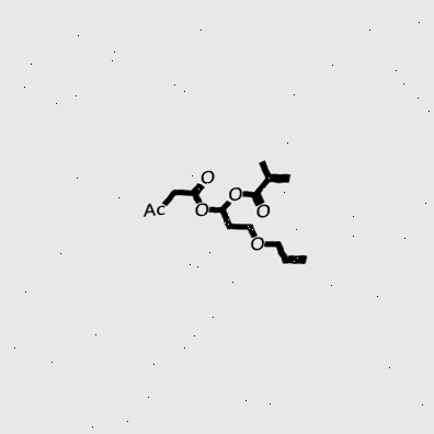 C=CCOCCC(OC(=O)CC(C)=O)OC(=O)C(=C)C